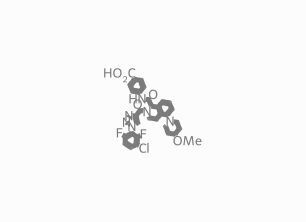 COC1CCN(c2cccc3c2CCN(C(=O)c2cn(-c4c(F)ccc(Cl)c4F)nn2)C3C(=O)Nc2ccc(C(=O)O)cc2)CC1